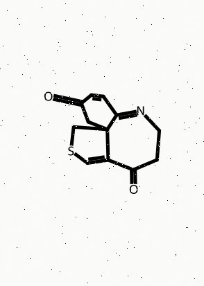 O=C1C=CC2=NCCC(=O)C3=CSCC32C1